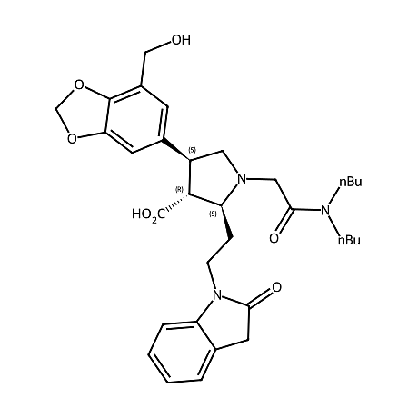 CCCCN(CCCC)C(=O)CN1C[C@H](c2cc(CO)c3c(c2)OCO3)[C@@H](C(=O)O)[C@@H]1CCN1C(=O)Cc2ccccc21